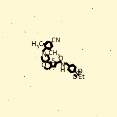 CCS(=O)(=O)c1ccc(CNC(=O)c2cc3c(s2)C2(CCN(Cc4c(C)cc(C#N)cc4C)CC2)OCC3)cc1